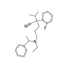 CCN(CCCC(C#N)(c1ccccc1F)C(C)C)C(C)c1ccccc1